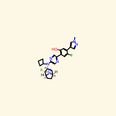 Cn1cc(-c2cc(O)c(-c3cnc(N(C4CCC4)[C@@H]4C[C@H]5CC[C@H](N5)[C@@H]4F)cn3)cc2F)cn1